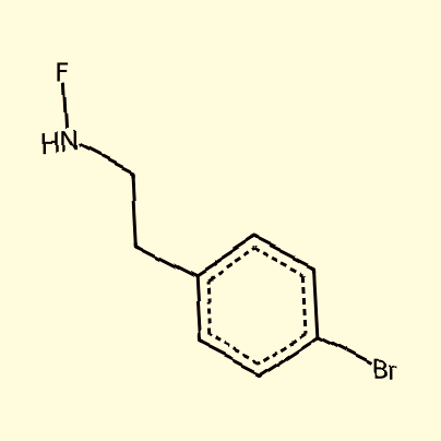 FNCCc1ccc(Br)cc1